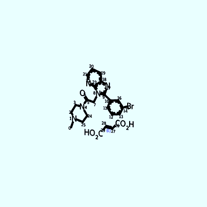 CN1CCN(C(=O)Cn2c(-c3cccc(Br)c3)nc3cccnc32)CC1.O=C(O)/C=C/C(=O)O